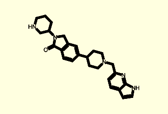 O=C1c2ccc(C3CCN(Cc4ccc5cc[nH]c5n4)CC3)cc2CN1C1CCCNC1